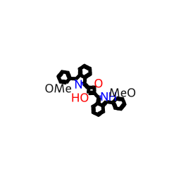 COc1ccccc1C1=N/C(=C2/C(=O)C(c3[nH]c(-c4ccccc4OC)c4ccccc34)=C2O)c2ccccc21